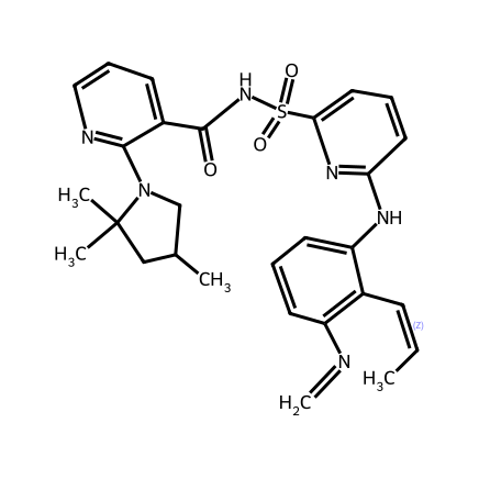 C=Nc1cccc(Nc2cccc(S(=O)(=O)NC(=O)c3cccnc3N3CC(C)CC3(C)C)n2)c1/C=C\C